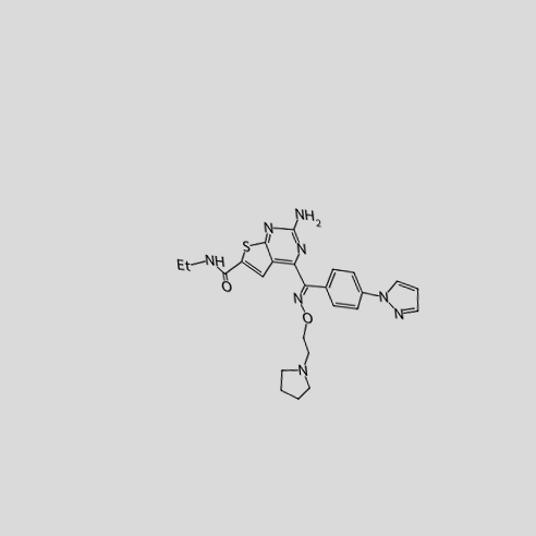 CCNC(=O)c1cc2c(C(=NOCCN3CCCC3)c3ccc(-n4cccn4)cc3)nc(N)nc2s1